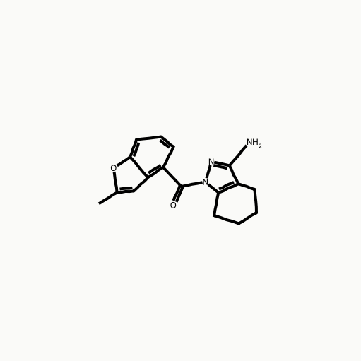 Cc1cc2c(C(=O)n3nc(N)c4c3CCCC4)cccc2o1